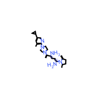 C=C(/C(N)=C/C=C(\N)N1C(=C)CCC1C)N1CCN(c2ncc(C3CC3)cc2C)CC1